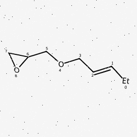 CCC=CCOCC1CO1